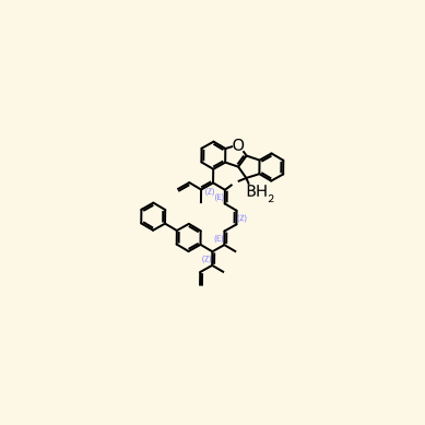 BC1(C)c2ccccc2-c2oc3cccc(C(=C(/C)C=C)/C(C)=C/C=C\C=C(C)\C(=C(/C)C=C)c4ccc(-c5ccccc5)cc4)c3c21